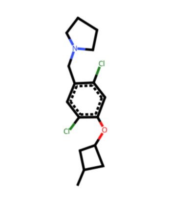 CC1CC(Oc2cc(Cl)c(CN3CCCC3)cc2Cl)C1